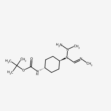 CN=CN([C@H]1CC[C@H](NC(=O)OC(C)(C)C)CC1)N(C)N